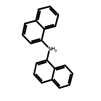 c1ccc2c([SiH2]c3cccc4ccccc34)cccc2c1